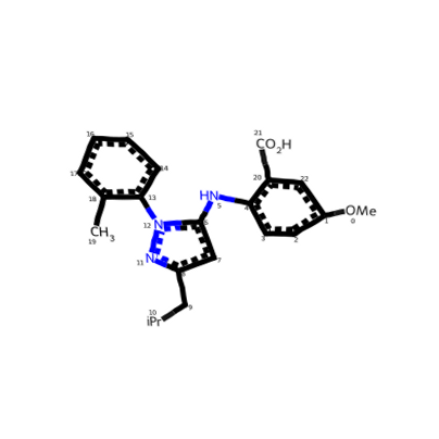 COc1ccc(Nc2cc(CC(C)C)nn2-c2ccccc2C)c(C(=O)O)c1